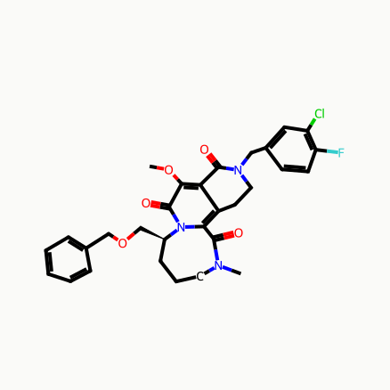 COc1c2c(c3n(c1=O)[C@H](COCc1ccccc1)CCCN(C)C3=O)CCN(Cc1ccc(F)c(Cl)c1)C2=O